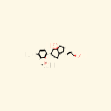 C[SiH](C)Oc1cc(C(C)(C)C)ccc1[C@H]1CC[C@]2(C)[C@@H](C=CCO)CC[C@]2(O)C1